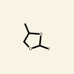 CC1COC(F)O1